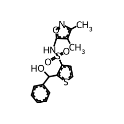 Cc1noc(NS(=O)(=O)c2ccsc2C(O)c2ccccc2)c1C